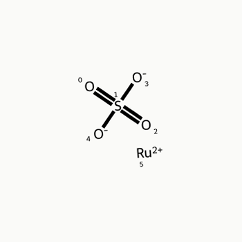 O=S(=O)([O-])[O-].[Ru+2]